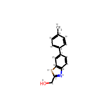 OCc1nc2ccc(-c3ccc(C(F)(F)F)cc3)cc2s1